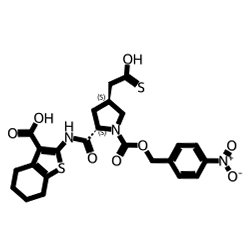 O=C(O)c1c(NC(=O)[C@@H]2C[C@@H](CC(O)=S)CN2C(=O)OCc2ccc([N+](=O)[O-])cc2)sc2c1CCCC2